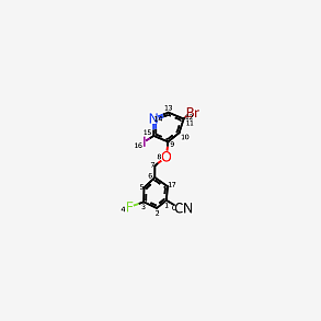 N#Cc1cc(F)cc(COc2cc(Br)cnc2I)c1